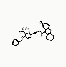 COC(=O)c1nc(C#CCNc2c3c(nc4ccc(Cl)cc24)CCCCC3)ccc1OCc1ccccc1